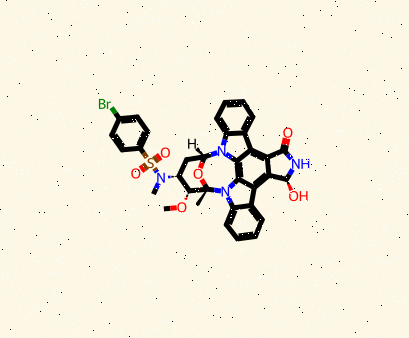 CO[C@@H]1[C@H](N(C)S(=O)(=O)c2ccc(Br)cc2)C[C@H]2O[C@]1(C)n1c3ccccc3c3c4c(c5c6ccccc6n2c5c31)C(=O)N[C@H]4O